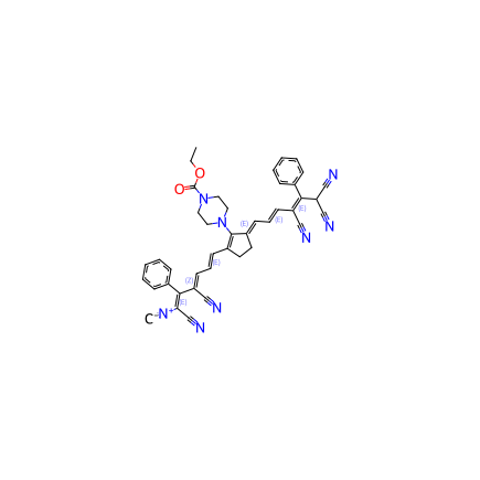 [C-]#[N+]/C(C#N)=C(/C(C#N)=C/C=C/C1=C(N2CCN(C(=O)OCC)CC2)C(=C/C=C/C(C#N)=C(\c2ccccc2)C(C#N)C#N)/CC1)c1ccccc1